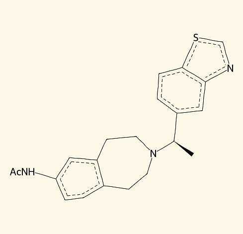 CC(=O)Nc1ccc2c(c1)CCN([C@H](C)c1ccc3scnc3c1)CC2